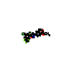 COC(=O)c1ccc(C2=NOC(F)(c3cc(Cl)cc(C(F)(F)F)c3)C2)cc1C